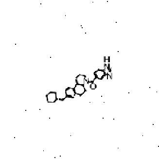 O=C(c1ccc2[nH]cnc2c1)N1CCCC2c3ccc(CC4CCCCC4)cc3CCC21